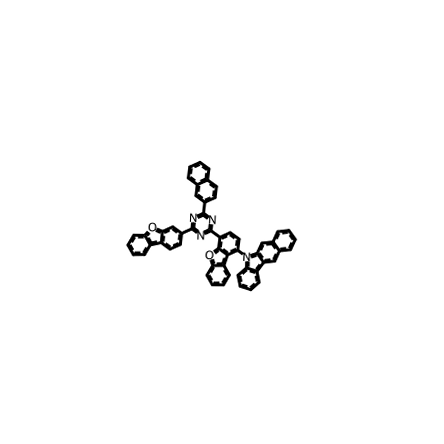 c1ccc2cc(-c3nc(-c4ccc5c(c4)oc4ccccc45)nc(-c4ccc(-n5c6ccccc6c6cc7ccccc7cc65)c5c4oc4ccccc45)n3)ccc2c1